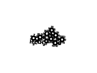 CC1(C)c2ccccc2-c2ccc(N(C3=CC=CC3)C3=CCCC4=C3c3ccccc3[C@]43c4ccccc4-c4ccc(N5c6ccccc6Oc6ccccc65)cc43)cc21